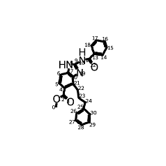 COC(=O)c1ccc2[nH]c(NC(=O)c3ccccc3)nc2c1CCCc1ccccc1